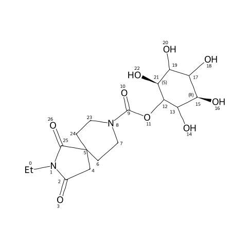 CCN1C(=O)CC2(CCN(C(=O)OC3C(O)[C@H](O)C(O)C(O)[C@@H]3O)CC2)C1=O